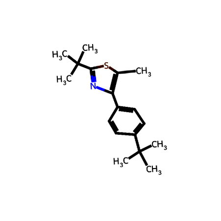 Cc1sc(C(C)(C)C)nc1-c1ccc(C(C)(C)C)cc1